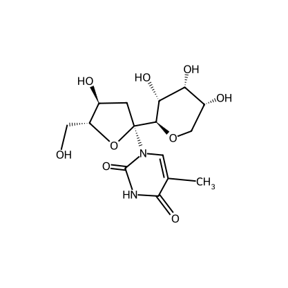 Cc1cn([C@@]2([C@@H]3OC[C@@H](O)[C@@H](O)[C@H]3O)C[C@H](O)[C@@H](CO)O2)c(=O)[nH]c1=O